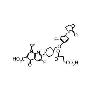 O=C(O)CCC(=O)OC1(COc2ccc(N3CCOC3=O)cc2F)CCN(c2nc3c(cc2F)c(=O)c(C(=O)O)cn3C2CC2)CC1